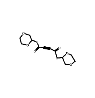 O=C(C#CC(=O)OC1COCCO1)OC1COCCO1